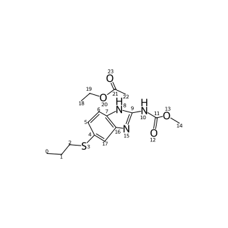 CCCSc1ccc2[nH]c(NC(=O)OC)nc2c1.CCOC(C)=O